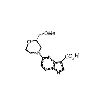 COC[C@@H]1CN(c2ccn3ncc(C(=O)O)c3n2)CCO1